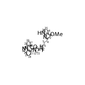 COc1cc(CCCC[C@@H](F)[C@@H]2CCN([C@@H](C(=O)O)c3cccc4cnn(C5CCCC5)c34)C2)nc2c1CCCN2